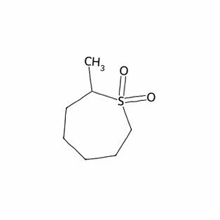 CC1CCCCCS1(=O)=O